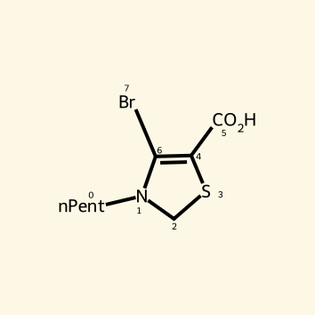 CCCCCN1CSC(C(=O)O)=C1Br